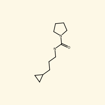 O=C([N]CCCC1CC1)N1CCCC1